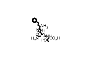 CC(O)[C@H](NC(=O)N[C@@H](CC(N)=O)c1nc([C@@H](N)CCc2ccccc2)no1)C(=O)O